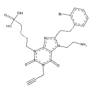 C#CCn1c(=O)c2c(nc(CCc3ccccc3Br)n2CCN)n(CCCCP(=O)(O)O)c1=O